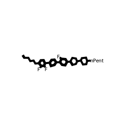 C=CCCCCc1ccc(-c2ccc(-c3ccc(C4=CCC(C5CCC(CCCCC)CC5)CC4)cc3F)cc2)c(F)c1F